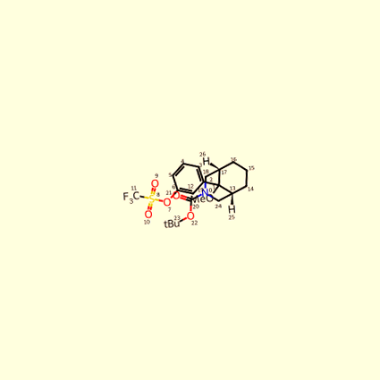 COC1(c2cccc(OS(=O)(=O)C(F)(F)F)c2)[C@@H]2CCC[C@H]1CN(C(=O)OC(C)(C)C)C2